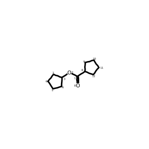 O=C(OC1CCCC1)C1CCCC1